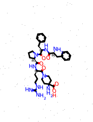 N=C(N)NCCC[C@@H](NC(=O)[C@H]1CCCN1C(=O)[C@@H](Cc1ccccc1)NC(=O)[C@H](N)Cc1ccccc1)C(=O)N1CCC(N)(C(=O)O)CC1